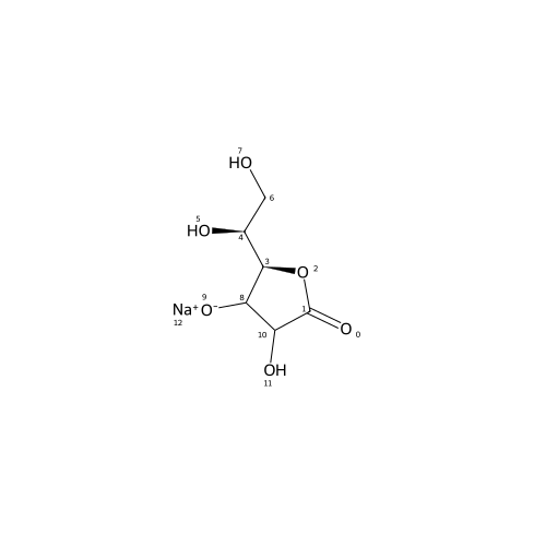 O=C1O[C@H]([C@@H](O)CO)C([O-])C1O.[Na+]